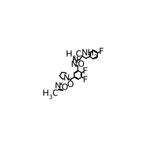 Cc1coc([C@@H]2CCCN2C(=O)c2cc(F)c(F)c(-c3nnc([C@@](C)(N)Cc4ccc(F)cc4)o3)c2)n1